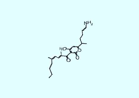 CCCC/C(C)=C\C=C(/C)C(=O)c1c(O)cc(C(C)CC/C=C/N)oc1=O